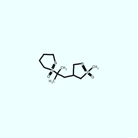 CC(C)(CC1CN=S(C)(=O)C1)S1(=O)=NCCCC1